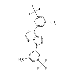 Cc1cc(-c2ccnc3c2ncn3-c2cc(C)cc(C(F)(F)F)c2)cc(C(F)(F)F)c1